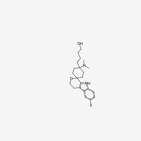 CN(C)C1(CCCCO)CCC2(CC1)OCCc1c2[nH]c2ccc(F)cc12